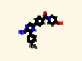 Cc1ccc(-c2nc(-c3ccc(C(=O)N4CCC(O)CC4)cc3)cnc2N)cc1